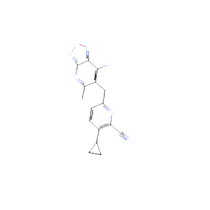 Cc1nc2nonc2c(N)c1Cc1ccc(C2CC2)c(C#N)n1